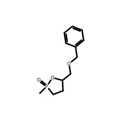 CP1(=O)CCC(COCc2ccccc2)O1